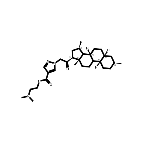 C[C@H]1CC[C@@H]2C3CC[C@@]4(C)C([C@@H]3CC[C@@H]2C1)[C@H](C)C[C@@H]4C(=O)Cn1cc(C(=O)OCCN(C)C)cn1